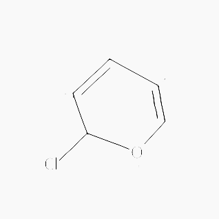 ClC1[C]=CC=CO1